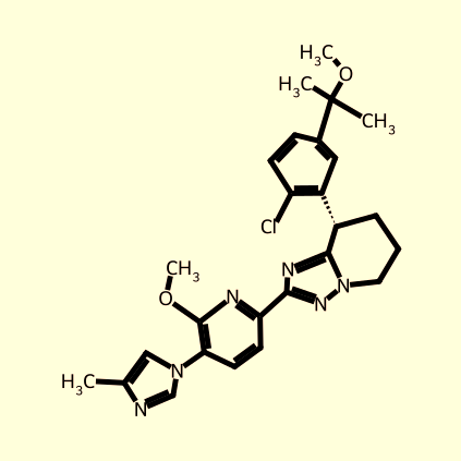 COc1nc(-c2nc3n(n2)CCC[C@H]3c2cc(C(C)(C)OC)ccc2Cl)ccc1-n1cnc(C)c1